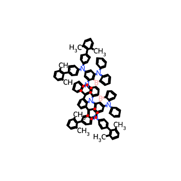 Cc1cccc(C)c1-c1ccc(N(c2ccc(-c3c(C)cccc3C)cc2)c2cc3c4c(c2)N(c2ccccc2)c2cc5c(cc2B4c2ccccc2N3c2ccccc2)B2c3ccccc3N(c3ccccc3)c3cc(N(c4ccc(-c6c(C)cccc6C)cc4)c4ccc(-c6c(C)cccc6C)cc4)cc(c32)N5c2c(-c3ccccc3)cccc2-c2ccccc2)cc1